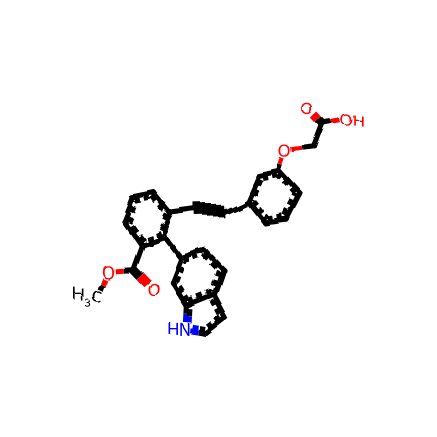 COC(=O)c1cccc(C#Cc2cccc(OCC(=O)O)c2)c1-c1ccc2cc[nH]c2c1